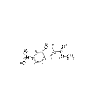 COC(=O)C1=Cc2ccc([N+](=O)[O-])cc2OC1